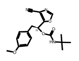 COc1ccc(C[C@H](OC(=O)NC(C)(C)C)c2ocnc2C#N)cc1